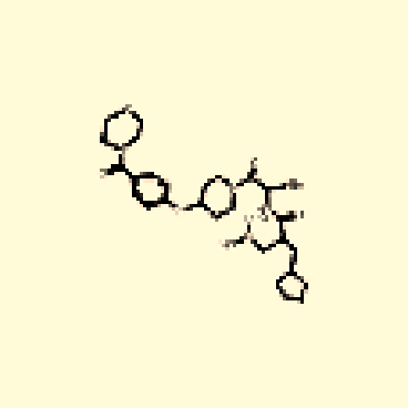 CC(C)(C)C(NC(=O)C(CC1CCCC1)CN(O)C=O)C(=O)N1CCC(Oc2ccc(C(=O)N3CCOCC3)cc2)CC1